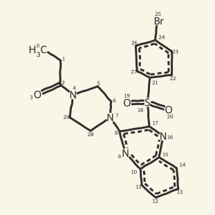 CCC(=O)N1CCN(c2nc3ccccc3nc2S(=O)(=O)c2ccc(Br)cc2)CC1